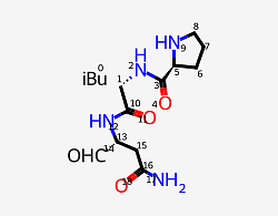 CC[C@H](C)[C@H](NC(=O)[C@@H]1CCCN1)C(=O)N[C@@H](C=O)CC(N)=O